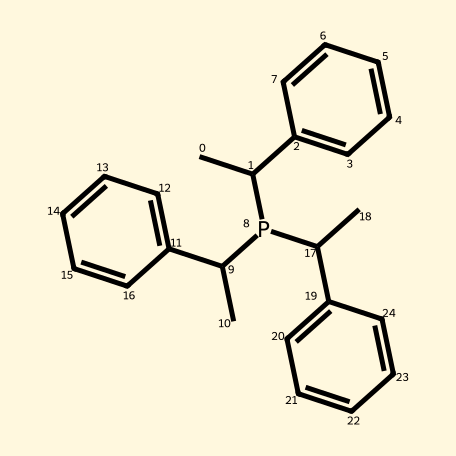 CC(c1ccccc1)P(C(C)c1ccccc1)C(C)c1ccccc1